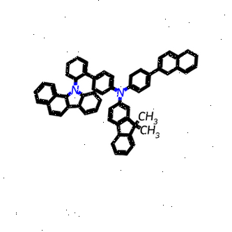 CC1(C)C2=CC=CCC2c2ccc(N(C3=CC=C(C4=CC=C5CCC=CC5C4)CC3)C3=CC=C(C4=CCCCC4N4C5CCC=CC5C5C=Cc6ccccc6C54)CC3)cc21